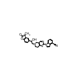 Cn1c(=O)oc2ccc(C(O)CN3CCc4nc(-n5ccc6c(C#N)cccc65)ncc4C3)cc21